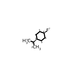 CC(C)[C@H]1CC[C@@H](F)CC1